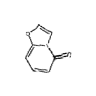 O=c1cccc2occn12